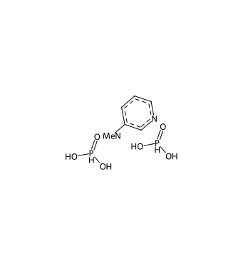 CNc1cccnc1.O=[PH](O)O.O=[PH](O)O